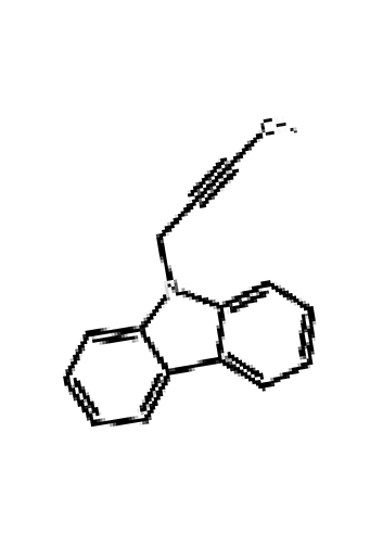 CC#CCn1c2ccccc2c2ccccc21